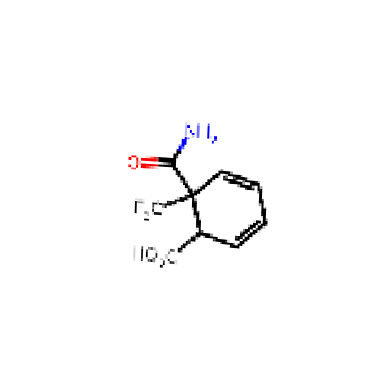 NC(=O)C1(C(F)(F)F)C=CC=CC1C(=O)O